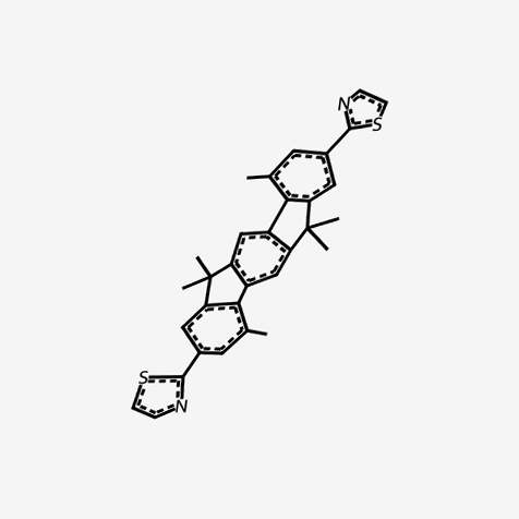 Cc1cc(-c2nccs2)cc2c1-c1cc3c(cc1C2(C)C)-c1c(C)cc(-c2nccs2)cc1C3(C)C